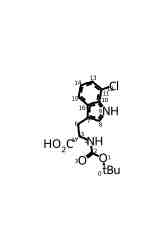 CC(C)(C)OC(=O)N[C@@H](Cc1c[nH]c2c(Cl)cccc12)C(=O)O